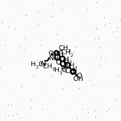 C=C(C)[C@@H]1CC[C@]2(C(=O)NCCCN(C)C)CC[C@]3(C)[C@H](CC[C@@H]4[C@@]5(C)CC=C(c6ccc(C(=O)O)cc6)C(C)(C)[C@@H]5CC[C@]43C)[C@@H]12